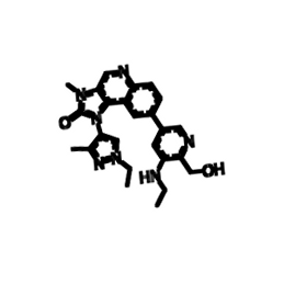 CCNc1cc(-c2ccc3ncc4c(c3c2)n(-c2cn(CC)nc2C)c(=O)n4C)cnc1CO